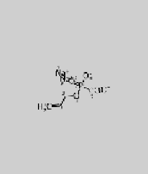 C=CCOP(=O)([O-])C(=O)[O-].[Na+].[Na+]